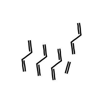 C=C.C=CC=C.C=CC=C.C=CC=C.C=CC=C